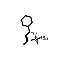 CC(C)(C)[Si](C)(C)O[C@H](/C=C/I)C1CCCCC1